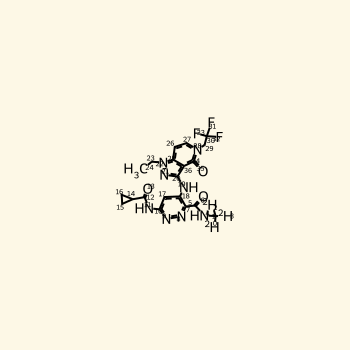 [2H]C([2H])([2H])NC(=O)c1nnc(NC(=O)C2CC2)cc1Nc1nn(CC)c2ccn(CC(F)(F)F)c(=O)c12